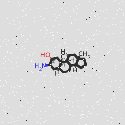 CC12CCC[C@H]1C1CC[C@H]3CC(N)[C@@H](O)C[C@]3(C)[C@H]1CC2